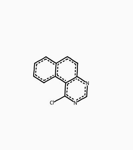 Clc1ncnc2ccc3ccccc3c12